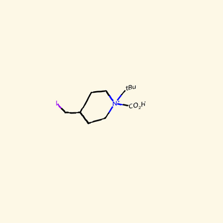 CC(C)(C)[N+]1(C(=O)O)CCC(CI)CC1